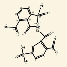 O=C(O)c1ccc(P(=O)(O)O)cc1C(=O)O.O=C(O)c1cccc(P(=O)(O)O)c1C(=O)O